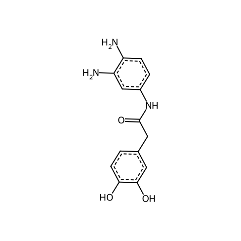 Nc1ccc(NC(=O)Cc2ccc(O)c(O)c2)cc1N